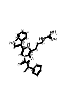 CC(c1ccccc1)c1nc2c(CCCNC(=N)N)[nH]c(-c3c[nH]c4ccccc34)cn-2c1=O